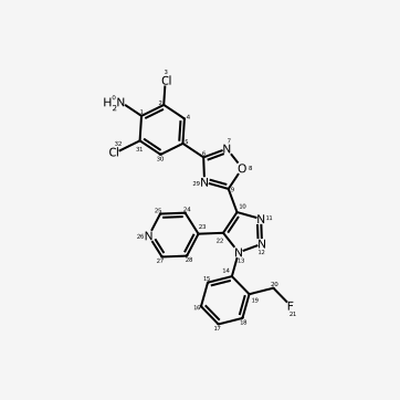 Nc1c(Cl)cc(-c2noc(-c3nnn(-c4ccccc4CF)c3-c3ccncc3)n2)cc1Cl